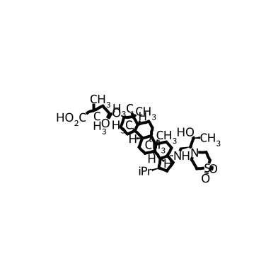 CC(C)[C@@H]1CC[C@]2(NC[C@@H]([C@H](C)O)N3CCS(=O)(=O)CC3)CC[C@]3(C)[C@H](CC[C@@H]4[C@@]5(C)CC[C@H](OC(=O)CC(C)(C)CC(=O)O)C(C)(C)[C@@H]5CC[C@]43C)[C@@H]12